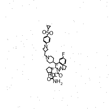 CC(=O)N(C([C@H](c1cccc(F)c1)C1CCN(CC2CN(c3ccc(S(=O)(=O)C4CC4)cc3)C2)CC1)[C@H]1CCC[C@@H]1OC(N)=O)N1CCC1